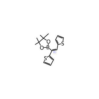 CC1(C)OB(/C(=C\c2cccs2)c2cccs2)OC1(C)C